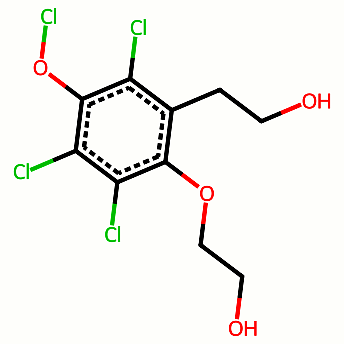 OCCOc1c(Cl)c(Cl)c(OCl)c(Cl)c1CCO